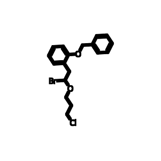 ClCCCOC(Br)Cc1ccccc1OCc1ccccc1